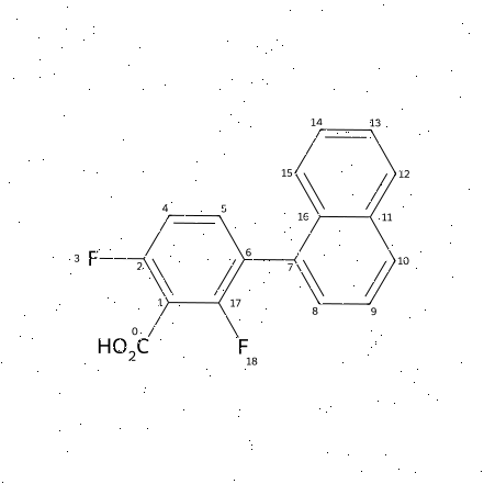 O=C(O)c1c(F)ccc(-c2cccc3ccccc23)c1F